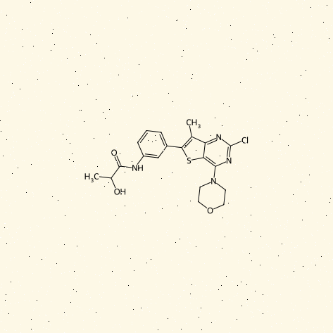 Cc1c(-c2cccc(NC(=O)C(C)O)c2)sc2c(N3CCOCC3)nc(Cl)nc12